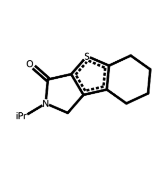 CC(C)N1Cc2c(sc3c2CCCC3)C1=O